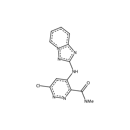 CNC(=O)c1nnc(Cl)cc1Nc1nc2ccccn2n1